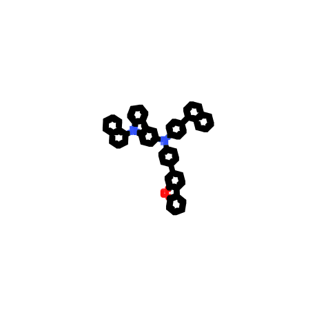 c1ccc2c(-c3ccc(N(c4ccc(-c5ccc6c(c5)oc5ccccc56)cc4)c4ccc5c(c4)c4ccccc4n5-c4cccc5ccccc45)cc3)cccc2c1